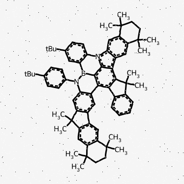 CC(C)(C)c1ccc(N2B3c4cc(C(C)(C)C)ccc4-n4c5cc6c(cc5c5c7c(c(c3c54)-c3cc4c(cc32)C(C)(C)c2cc3c(cc2-4)C(C)(C)CCC3(C)C)-c2ccccc2C7(C)C)C(C)(C)CCC6(C)C)cc1